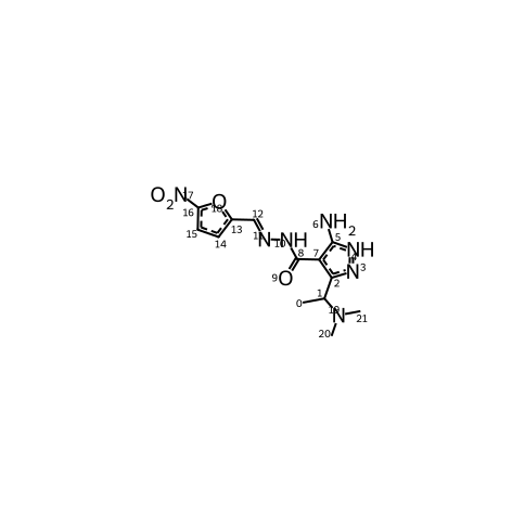 CC(c1n[nH]c(N)c1C(=O)NN=Cc1ccc([N+](=O)[O-])o1)N(C)C